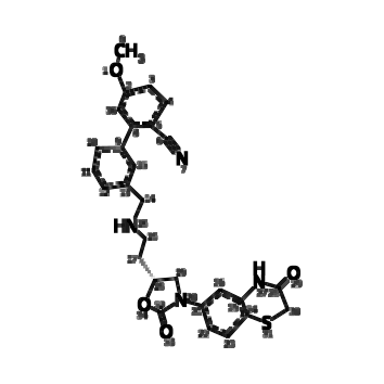 COc1ccc(C#N)c(-c2cccc(CNCC[C@@H]3CN(c4ccc5c(c4)NC(=O)CS5)C(=O)O3)c2)c1